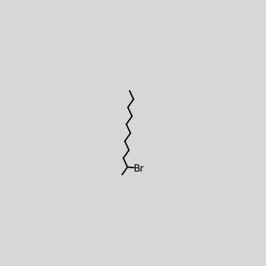 CCCCCCCCCC(C)Br